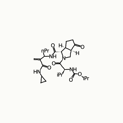 C=C(C(=O)NC1CC1)C(CCC)NC(=O)[C@@H]1[C@H]2CCC(=O)[C@H]2CN1C(=O)[C@@H](NC(=O)OC(C)C)C(C)C